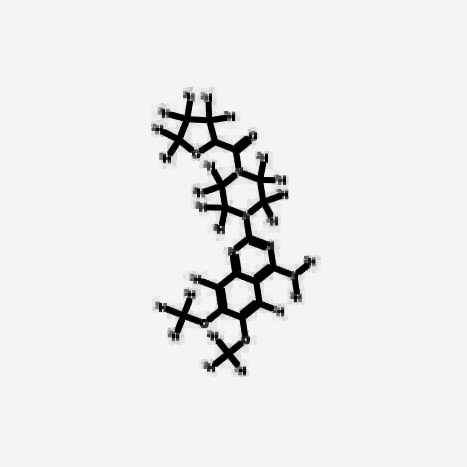 [2H]c1c(OC([2H])([2H])[2H])c(OC([2H])([2H])[2H])c([2H])c2c(N([2H])[2H])nc(N3C([2H])([2H])C([2H])([2H])N(C(=O)C4OC([2H])([2H])C([2H])([2H])C4([2H])[2H])C([2H])([2H])C3([2H])[2H])nc12